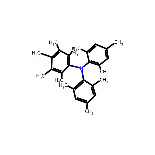 Cc1cc(C)c(N(c2c(C)cc(C)cc2C)c2c(C)c(C)c(C)c(C)c2C)c(C)c1